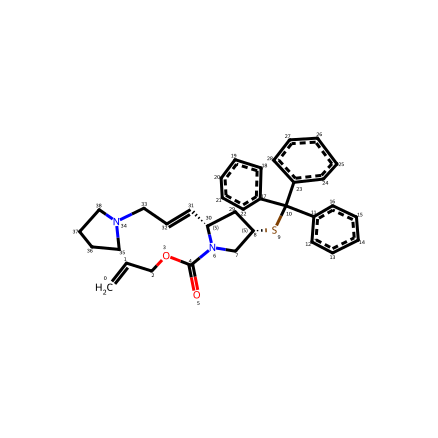 C=CCOC(=O)N1C[C@@H](SC(c2ccccc2)(c2ccccc2)c2ccccc2)C[C@H]1C=CCN1CCCC1